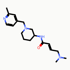 Cc1cc(CN2CCCC(NC(=O)/C=C/CN(C)C)C2)ccn1